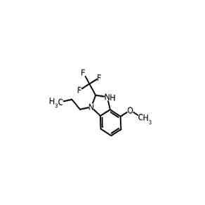 CCCN1c2cccc(OC)c2NC1C(F)(F)F